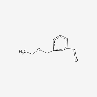 CCOCc1cccc([C]=O)c1